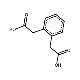 O=C(O)Cc1[c]cccc1CC(=O)O